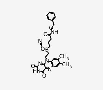 Cc1cc2nc3c(=O)[nH]c(=O)nc-3n(CCB(CCCC(=O)NOCc3ccccc3)OC#N)c2cc1C